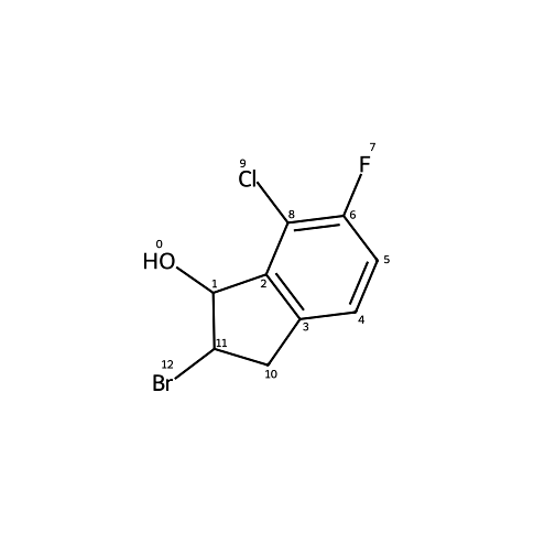 OC1c2c(ccc(F)c2Cl)CC1Br